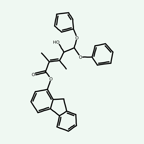 CC(C(=O)Oc1cccc2c1Cc1ccccc1-2)=C(C)C(O)C(Oc1ccccc1)Oc1ccccc1